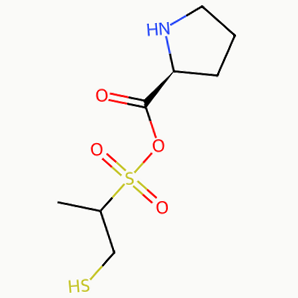 CC(CS)S(=O)(=O)OC(=O)[C@@H]1CCCN1